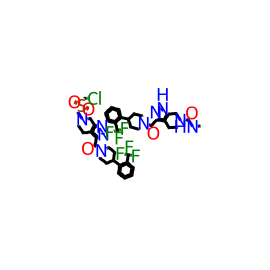 CNC(=O)N1CCc2c(C(=O)N3CCC(c4cccc(-n5nc(C(=O)N6CCC(c7ccccc7C(F)(F)F)CC6)c6c5CN(CS(=O)(=O)CCl)CC6)c4C(F)(F)F)CC3)n[nH]c2C1